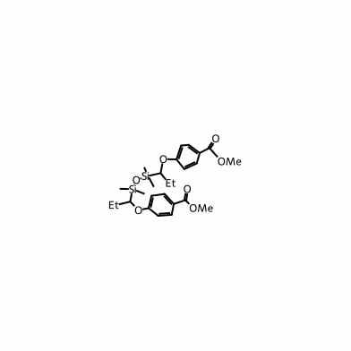 CCC(Oc1ccc(C(=O)OC)cc1)[Si](C)(C)O[Si](C)(C)C(CC)Oc1ccc(C(=O)OC)cc1